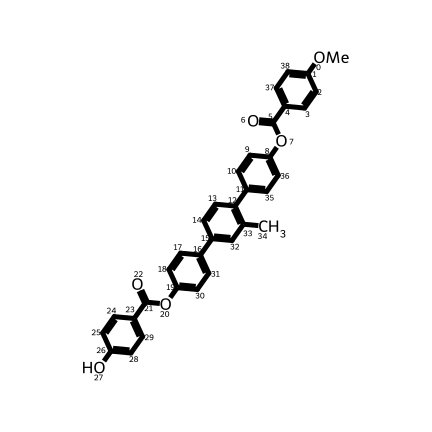 COc1ccc(C(=O)Oc2ccc(-c3ccc(-c4ccc(OC(=O)c5ccc(O)cc5)cc4)cc3C)cc2)cc1